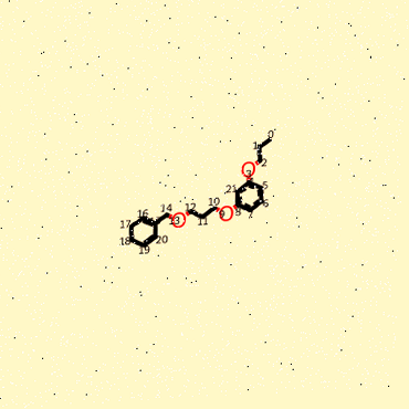 CCCOc1cccc(OCCCOCC2=CCCC=C2)c1